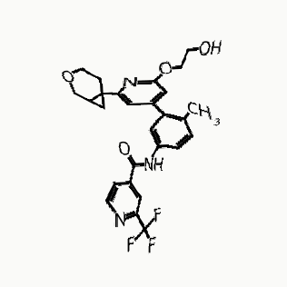 Cc1ccc(NC(=O)c2ccnc(C(F)(F)F)c2)cc1-c1cc(OCCO)nc(C23CCOCC2C3)c1